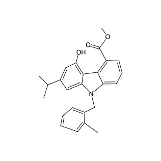 COC(=O)c1cccc2c1c1c(O)cc(C(C)C)cc1n2Cc1ccccc1C